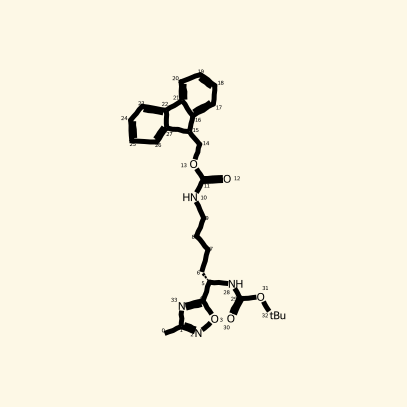 Cc1noc([C@H](CCCCNC(=O)OCC2c3ccccc3-c3ccccc32)NC(=O)OC(C)(C)C)n1